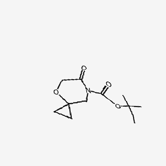 CC(C)(C)OC(=O)N1CC2(CC2)OCC1=O